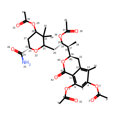 CC(=O)Oc1cc(OC(C)=O)c2c(c1C)C[C@H]([C@H](C)[C@H](CC1O[C@H](C(N)=O)CC(OC(C)=O)C1(C)C)OC(C)=O)OC2=O